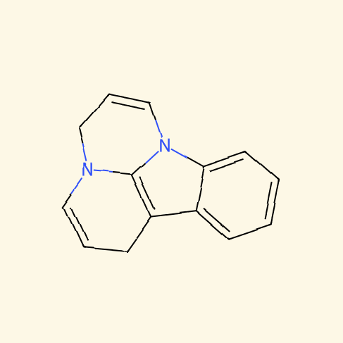 C1=CN2CC=Cn3c2c(c2ccccc23)C1